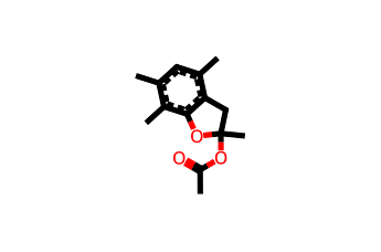 CC(=O)OC1(C)Cc2c(C)cc(C)c(C)c2O1